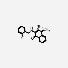 C=C1C(N)=C(NCc2ccccc2Cl)C(=O)c2ccccc21